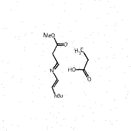 CCC(=O)O.CCCCC=CN=CCC(=O)OC